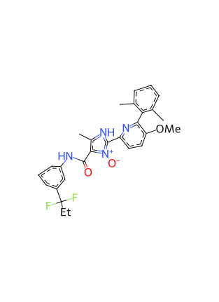 CCC(F)(F)c1cccc(NC(=O)c2c(C)[nH]c(-c3ccc(OC)c(-c4c(C)cccc4C)n3)[n+]2[O-])c1